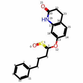 O=S=C(CCCc1ccccc1)Oc1ccc2c(c1)NC(=O)CC2